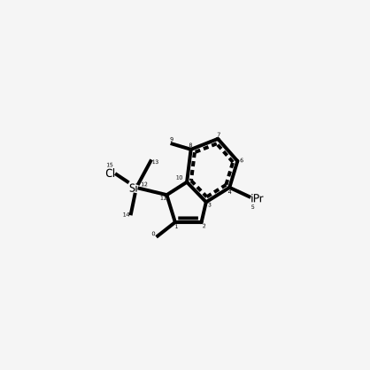 CC1=Cc2c(C(C)C)ccc(C)c2C1[Si](C)(C)Cl